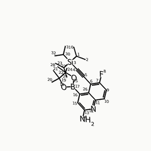 CC(C)[Si](C#Cc1c(F)ccc2nc(N)cc(B3OC(C)(C)C(C)(C)O3)c12)(C(C)C)C(C)C